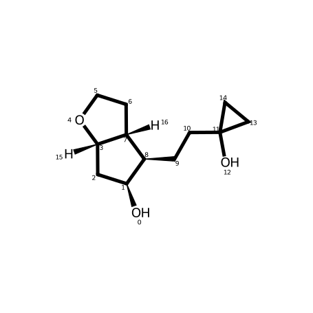 O[C@H]1C[C@@H]2OCC[C@@H]2[C@H]1CCC1(O)CC1